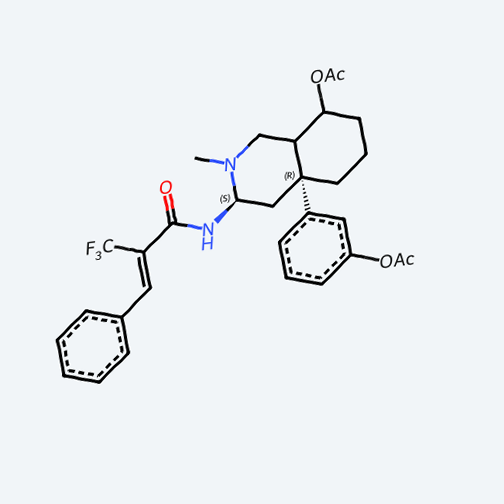 CC(=O)Oc1cccc([C@@]23CCCC(OC(C)=O)C2CN(C)[C@H](NC(=O)C(=Cc2ccccc2)C(F)(F)F)C3)c1